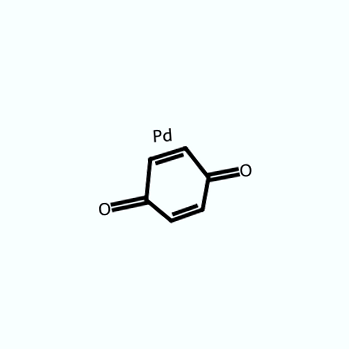 O=C1C=CC(=O)C=C1.[Pd]